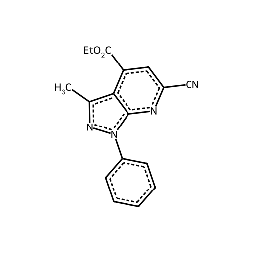 CCOC(=O)c1cc(C#N)nc2c1c(C)nn2-c1ccccc1